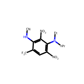 CCCN(CC)c1c([N+](=O)[O-])cc(C(F)(F)F)c(NC#N)c1[N+](=O)[O-]